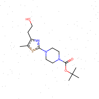 Cc1sc(N2CCN(C(=O)OC(C)(C)C)CC2)nc1CCO